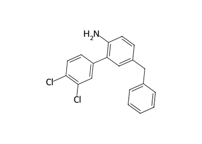 Nc1ccc(Cc2ccccc2)cc1-c1ccc(Cl)c(Cl)c1